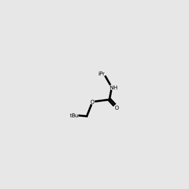 CC(C)NC(=O)OCC(C)(C)C